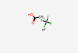 CC(=O)O.F[B-](F)(F)F.[H+]